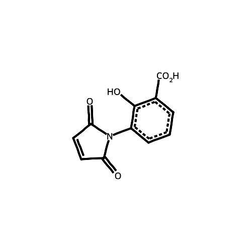 O=C(O)c1cccc(N2C(=O)C=CC2=O)c1O